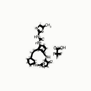 Cc1cnc(NC(=O)Nc2ccc3cc2CCc2cccc(c2)Nc2ncc(Cl)c(n2)N3)s1.O=C(O)C(F)(F)F